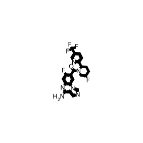 Nc1nc2cc(F)c(C(=O)N3C[C@H](F)CCC3c3ccc(C(F)(F)F)cn3)cc2n2cncc12